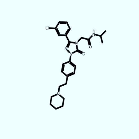 CC(C)NC(=O)Cn1c(-c2cccc(Cl)c2)nn(-c2ccc(CCN3CCCCC3)cc2)c1=O